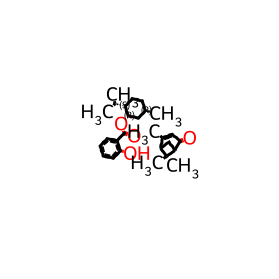 CC(C)[C@@H]1CC[C@@H](C)C[C@H]1OC(=O)c1ccccc1O.CC1=CC(=O)C2CC1C2(C)C